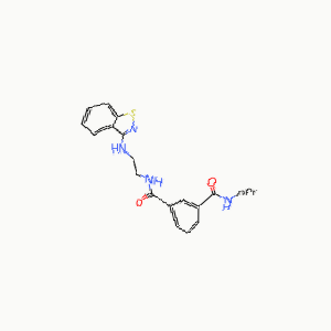 CCCNC(=O)c1cccc(C(=O)NCCNc2nsc3ccccc23)c1